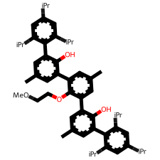 COCCOc1c(-c2cc(C)cc(-c3c(C(C)C)cc(C(C)C)cc3C(C)C)c2O)cc(C)cc1-c1cc(C)cc(-c2c(C(C)C)cc(C(C)C)cc2C(C)C)c1O